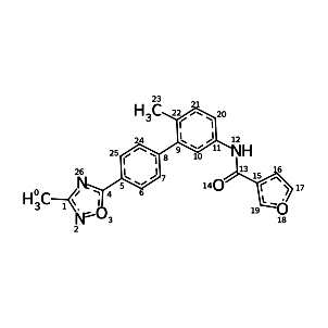 Cc1noc(-c2ccc(-c3cc(NC(=O)c4ccoc4)ccc3C)cc2)n1